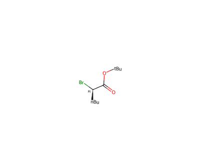 CCCC[C@@H](Br)C(=O)OC(C)(C)C